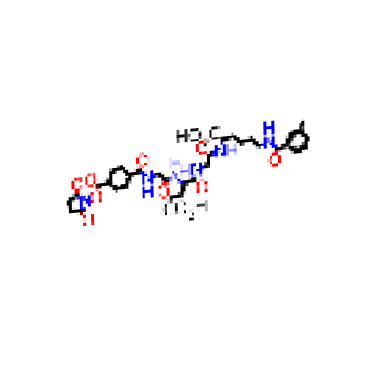 Cc1cccc(C(=O)NCCCCC(NC(=O)CNC(=O)C(CCC(=O)O)NC(=O)CNC(=O)C2CCC(C(=O)ON3C(=O)CCC3=O)CC2)C(=O)O)c1